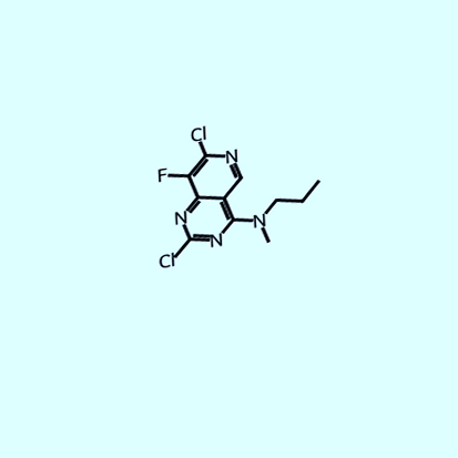 CCCN(C)c1nc(Cl)nc2c(F)c(Cl)ncc12